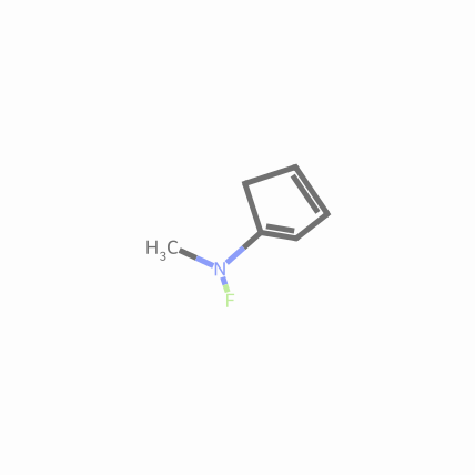 CN(F)C1=CC=CC1